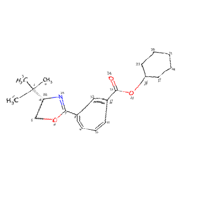 CC(C)(C)[C@H]1COC(c2cccc(C(=O)OC3CCCCC3)c2)=N1